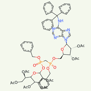 CC(=O)OC[C@@H](OC(C)=O)C1OC(OP(=O)(CP(=O)(OCc2ccccc2)OC[C@H]2O[C@@H](n3cnc4c(NC(c5ccccc5)(c5ccccc5)c5ccccc5)ncnc43)[C@H](OC(C)=O)[C@@H]2OC(C)=O)OCc2ccccc2)C(OC(C)=O)C(OC(C)=O)C1OC(C)=O